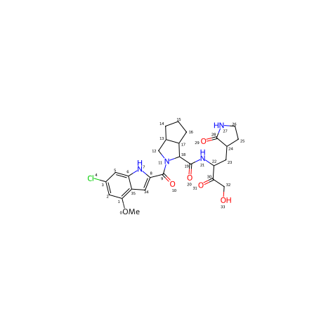 COc1cc(Cl)cc2[nH]c(C(=O)N3CC4CCCC4C3C(=O)NC(CC3CCNC3=O)C(=O)CO)cc12